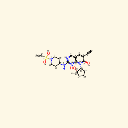 C#Cc1cc2cnc(NC3CCN(S(=O)(=O)NC)CC3)nc2n([C@@H]2CCC[C@@]2(C)O)c1=O